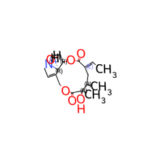 C/C=C1\C[C@@H](C)[C@@](C)(O)C(=O)OCC2=CC[N+]3([O-])CC[C@@H](OC1=O)[C@@H]23